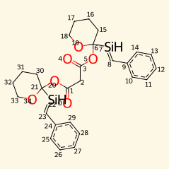 O=C(CC(=O)OC1([SiH]=Cc2ccccc2)CCCCO1)OC1([SiH]=Cc2ccccc2)CCCCO1